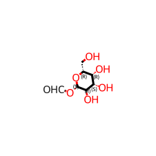 O=CO[C@@H]1O[C@H](CO)[C@H](O)[C@H](O)[C@H]1O